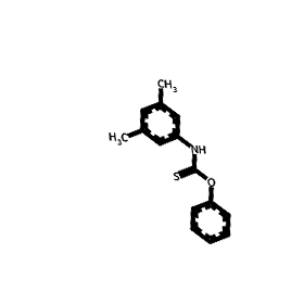 Cc1cc(C)cc(NC(=S)Oc2ccccc2)c1